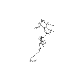 CCCCCCCCCCCCCCCCCC(=O)NCC(=O)ON(C(C)O)C(C)C(C)O.Cl